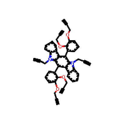 C#CCOc1cccc(-c2c3c4ccccc4n(CC#C)c3c(-c3cccc(OCC#C)c3OCC#C)c3c4ccccc4n(CC#C)c23)c1OCC#C